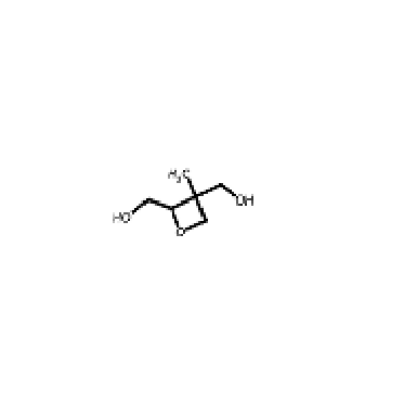 CC1(CO)COC1CO